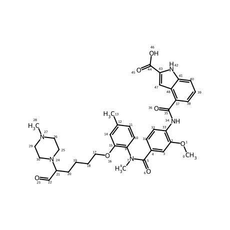 COc1cc(C(=O)N(C)c2ccc(C)cc2OCCCCC(C=O)N2CCN(C)CC2)ccc1NC(=O)c1cccc2[nH]c(C(=O)O)cc12